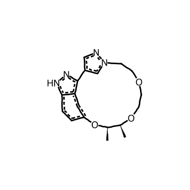 C[C@@H]1OCCOCCn2cc(cn2)-c2n[nH]c3ccc(cc23)O[C@@H]1C